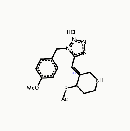 COc1ccc(Cn2nnnc2/C=C2\CNCCC2SC(C)=O)cc1.Cl